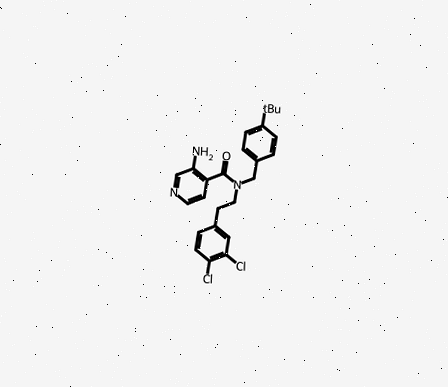 CC(C)(C)c1ccc(CN(CCc2ccc(Cl)c(Cl)c2)C(=O)c2ccncc2N)cc1